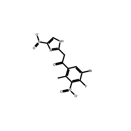 Cc1c(C(=O)Cc2nc([N+](=O)[O-])c[nH]2)cc(Br)c(F)c1[N+](=O)[O-]